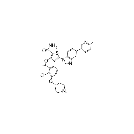 Cc1ccc(C2C=Cc3c(ncn3-c3cc(OC(C)c4cccc(OC5CCN(C)CC5)c4Cl)c(C(N)=O)s3)C2)cn1